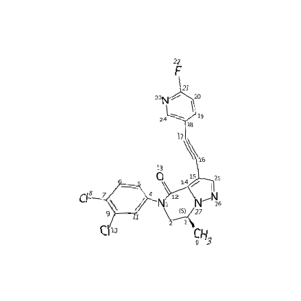 C[C@H]1CN(c2ccc(Cl)c(Cl)c2)C(=O)c2c(C#Cc3ccc(F)nc3)cnn21